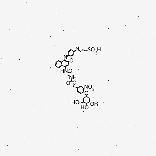 O=C(CNC(=O)OCc1ccc(OC2CC(CO)C(O)[C@@H](O)C2)c([N+](=O)[O-])c1)Nc1cc2oc3c/c(=N\CCCS(=O)(=O)O)ccc-3nc2c2ccccc12